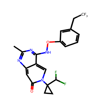 Cc1nc(NOc2cccc(CC(F)(F)F)c2)c2cn(C3(C(F)F)CC3)c(=O)cc2n1